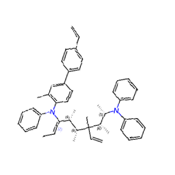 C=Cc1ccc(-c2ccc(N(/C(=C\C)[C@H](C)[C@@H](C)C(C)(C=C)[C@@H](C)[C@H](C)N(c3ccccc3)c3ccccc3)c3ccccc3)c(C)c2)cc1